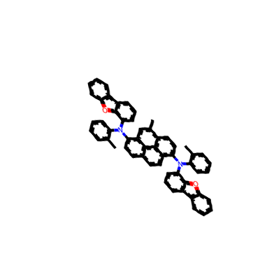 Cc1ccccc1N(c1ccc2ccc3c(N(c4ccccc4C)c4cccc5c4oc4ccccc45)ccc4c(C)cc1c2c43)c1cccc2c1oc1ccccc12